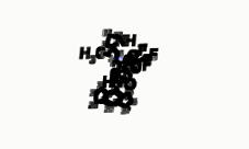 CC[C@@]1(/C=C/S(=O)(=O)N(OC(=O)C(F)(F)F)C(=O)Nc2c3c(cc4c2CCC4)CCC3)CCCN1